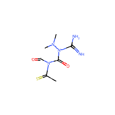 CC(=S)N([C]=O)C(=O)N(C(=N)N)N(C)C